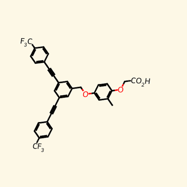 Cc1cc(OCc2cc(C#Cc3ccc(C(F)(F)F)cc3)cc(C#Cc3ccc(C(F)(F)F)cc3)c2)ccc1OCC(=O)O